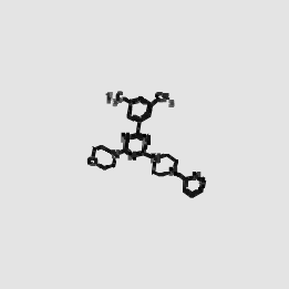 FC(F)(F)c1cc(-c2nc(N3CCOCC3)nc(N3CCN(c4ccccn4)CC3)n2)cc(C(F)(F)F)c1